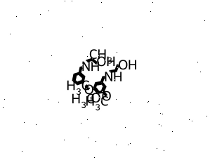 CC(CO)CNCc1ccccc1.COc1cc(CNCCCO)cc(OC)c1OC